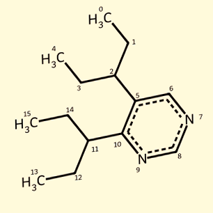 CCC(CC)c1cncnc1C(CC)CC